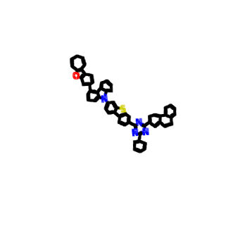 C1=Cc2oc3cc(-c4cccc5c4c4ccccc4n5-c4ccc5c(c4)sc4cc(-c6nc(-c7ccccc7)nc(-c7ccc8c(ccc9ccccc98)c7)n6)ccc45)ccc3c2C=CC1